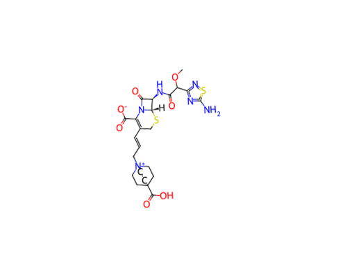 COC(C(=O)N[C@@H]1C(=O)N2C(C(=O)[O-])=C(/C=C/C[N+]34CCC(C(=O)O)(CC3)CC4)CS[C@@H]12)c1nsc(N)n1